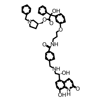 O=C(NCCCOc1cccc(C(O)(C(=O)OC[C@H]2CCN(Cc3ccccc3)C2)c2ccccc2)c1)c1ccc(CNC[C@H](O)c2ccc(O)c3[nH]c(=O)ccc23)cc1